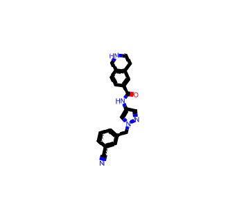 N#Cc1cccc(Cn2cc(NC(=O)c3ccc4c(c3)CCNC4)cn2)c1